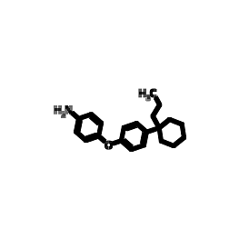 CCCC1(c2ccc(Oc3ccc(N)cc3)cc2)CCCCC1